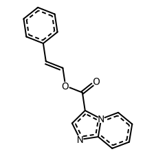 O=C(OC=Cc1ccccc1)c1cnc2ccccn12